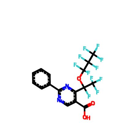 O=C(O)c1cnc(-c2ccccc2)nc1C(F)(OC(F)(F)C(F)(F)C(F)(F)F)C(F)(F)F